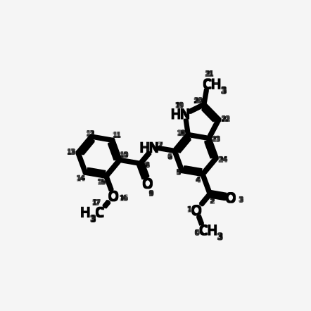 COC(=O)c1cc(NC(=O)c2ccccc2OC)c2[nH]c(C)cc2c1